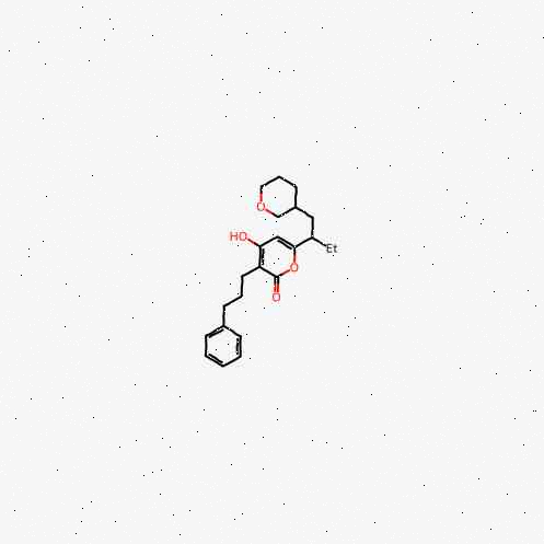 CCC(CC1CCCOC1)c1cc(O)c(CCCc2ccccc2)c(=O)o1